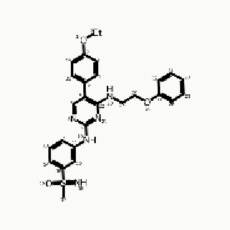 CCOc1ccc(-c2cnc(Nc3cccc(S(C)(=N)=O)c3)nc2NCCOc2ccccc2)cc1